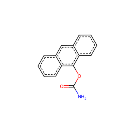 NC(=O)Oc1c2ccccc2cc2ccccc12